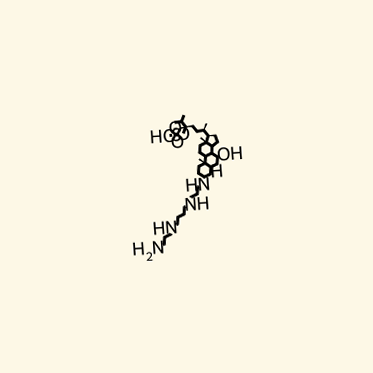 CC(C)[C@@H](CC[C@@H](C)[C@H]1CCC2C3C(CC[C@@]21C)[C@@]1(C)CC[C@H](NCCCNCCCCNCCCN)C[C@H]1C[C@@H]3O)OS(=O)(=O)O